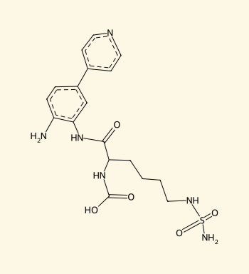 Nc1ccc(-c2ccncc2)cc1NC(=O)C(CCCCNS(N)(=O)=O)NC(=O)O